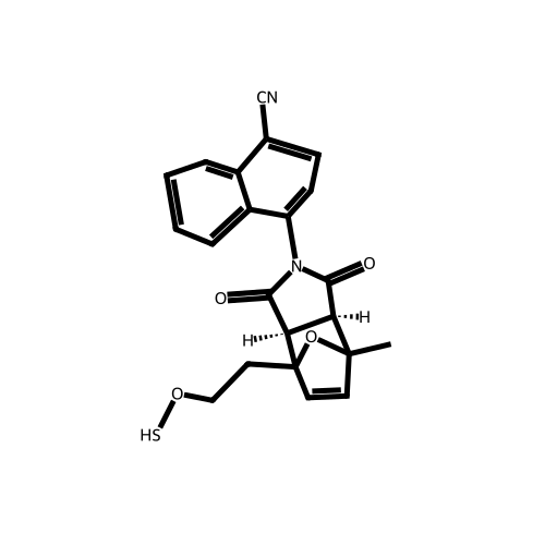 CC12C=CC(CCOS)(O1)[C@H]1C(=O)N(c3ccc(C#N)c4ccccc34)C(=O)[C@H]12